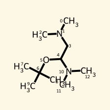 CN(C)CC(OC(C)(C)C)N(C)C